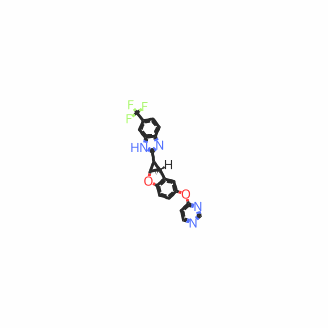 FC(F)(F)c1ccc2nc(C3C4Oc5ccc(Oc6ccncn6)cc5[C@H]43)[nH]c2c1